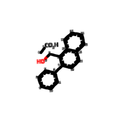 CC(=O)O.OCc1c(-c2ccccc2)ccc2ccccc12